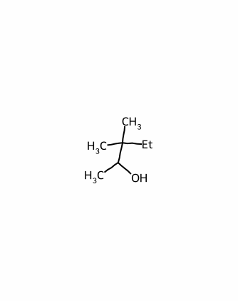 CCC(C)(C)C(C)O